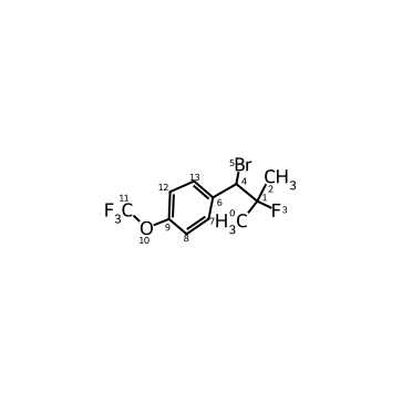 CC(C)(F)C(Br)c1ccc(OC(F)(F)F)cc1